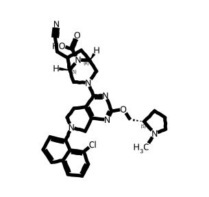 CN1CCC[C@H]1COc1nc2c(c(N3C[C@H]4CC(CC#N)[C@@H](C3)N4C(=O)O)n1)CCN(c1cccc3cccc(Cl)c13)C2